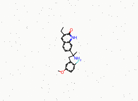 CCc1cc2ccc(C(C)(N)Cc3cc(OC)ccc3F)cc2[nH]c1=O